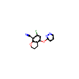 N#Cc1c(F)cc(Oc2cccnn2)c2c1OCCC2